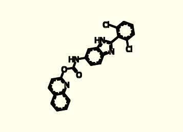 O=C(Nc1ccc2nc(-c3c(Cl)cccc3Cl)[nH]c2c1)Oc1ccc2ccccc2n1